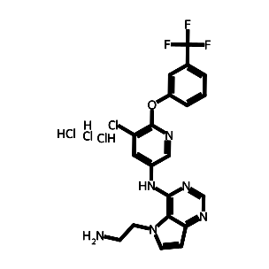 Cl.Cl.Cl.NCCn1ccc2ncnc(Nc3cnc(Oc4cccc(C(F)(F)F)c4)c(Cl)c3)c21